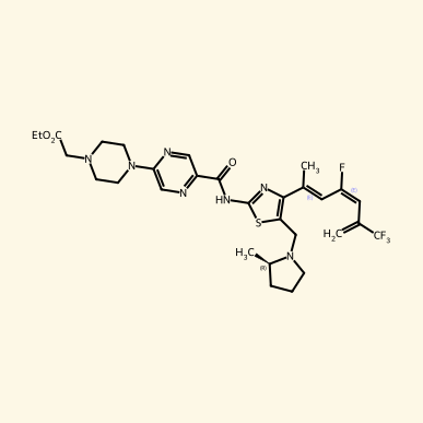 C=C(/C=C(F)\C=C(/C)c1nc(NC(=O)c2cnc(N3CCN(CC(=O)OCC)CC3)cn2)sc1CN1CCC[C@H]1C)C(F)(F)F